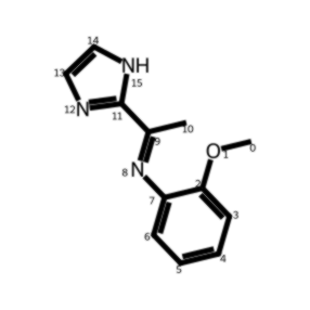 COc1ccccc1N=C(C)c1ncc[nH]1